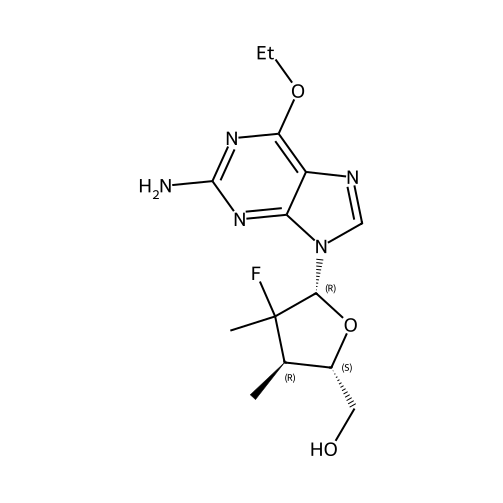 CCOc1nc(N)nc2c1ncn2[C@@H]1O[C@H](CO)[C@@H](C)C1(C)F